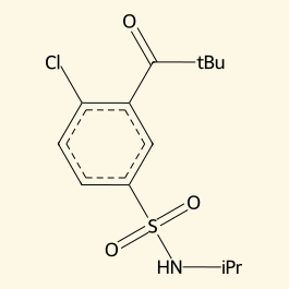 CC(C)NS(=O)(=O)c1ccc(Cl)c(C(=O)C(C)(C)C)c1